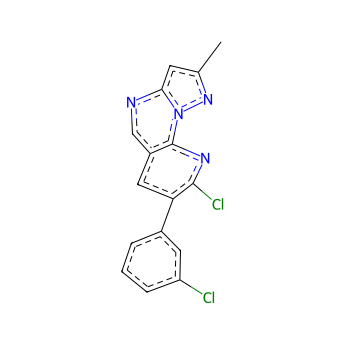 Cc1cc2ncc3cc(-c4cccc(Cl)c4)c(Cl)nc3n2n1